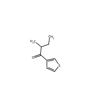 CCC(C)C(=O)c1ccsc1